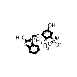 CC[n+]1c(C)sc2ccccc21.Cc1ccc(O)cc1S(=O)(=O)[O-]